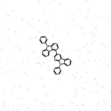 c1ccc(-n2c3ccccc3c3c(-c4cnc5c(c4)c4ccccc4n5-c4ccccc4)cccc32)cc1